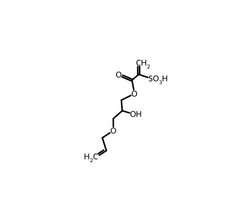 C=CCOCC(O)COC(=O)C(=C)S(=O)(=O)O